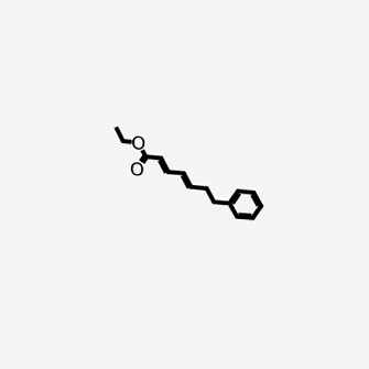 CCOC(=O)/C=C/C=C/CCc1ccccc1